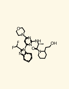 C[C@H](Nc1nc(N2CCOCC2)cc(-n2c(C(F)F)nc3ccccc32)n1)C(=O)N1CCCCC1CCO